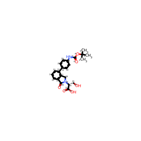 CC(C)(C)OC(=O)Nc1ccc(-c2cccc3c2CN([C@H](CO)C(=O)O)C3=O)cc1